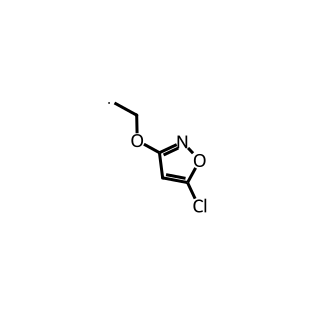 [CH2]COc1cc(Cl)on1